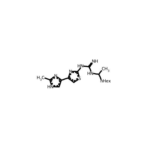 CCCCCCC(C)NC(=N)Nc1nc(-c2c[nH]c(C)n2)cs1